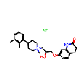 Cc1cccc(C2CC[N+](C)(CC(O)COc3ccc4c(c3)NC(=O)CC4)CC2)c1C.[Cl-]